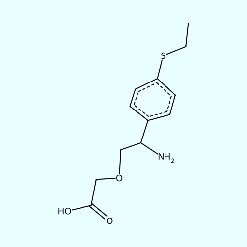 CCSc1ccc(C(N)COCC(=O)O)cc1